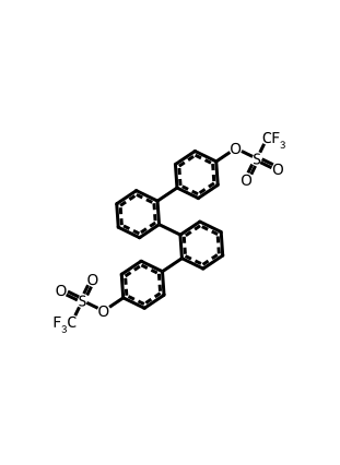 O=S(=O)(Oc1ccc(-c2ccccc2-c2ccccc2-c2ccc(OS(=O)(=O)C(F)(F)F)cc2)cc1)C(F)(F)F